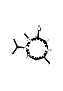 Cc1cnn(C(C)C)n(C)c(Cl)cn1